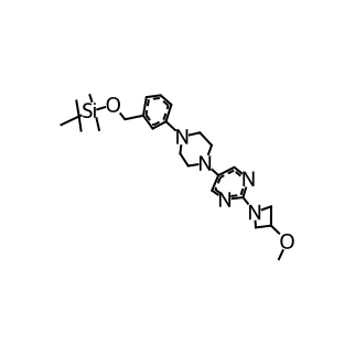 COC1CN(c2ncc(N3CCN(c4cccc(CO[Si](C)(C)C(C)(C)C)c4)CC3)cn2)C1